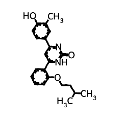 Cc1cc(-c2cc(-c3ccccc3OCCC(C)C)[nH]c(=O)n2)ccc1O